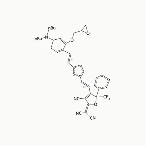 CCCCN(CCCC)C1C=C(OCC2CO2)C(/C=C/c2ccc(/C=C/C3=C(C#N)C(=C(C#N)C#N)OC3(c3ccccc3)C(F)(F)F)s2)=CC1